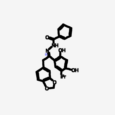 CC(C)c1cc(/C(Cc2ccc3c(c2)OCO3)=N\NC(=O)c2ccccc2)c(O)cc1O